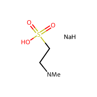 CNCCS(=O)(=O)O.[NaH]